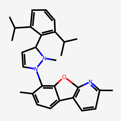 Cc1ccc2c(n1)oc1c(N3C=CC(c4c(C(C)C)cccc4C(C)C)N3C)c(C)ccc12